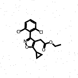 CCOC(=O)Cc1c(-c2c(Cl)cccc2Cl)noc1C1CC1